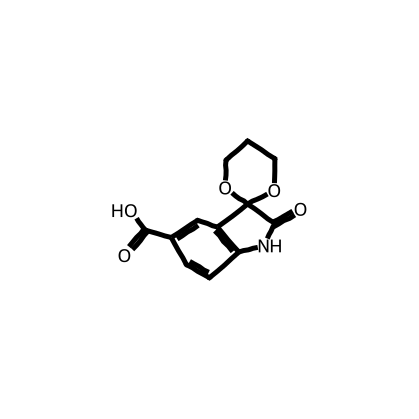 O=C(O)c1ccc2c(c1)C1(OCCCO1)C(=O)N2